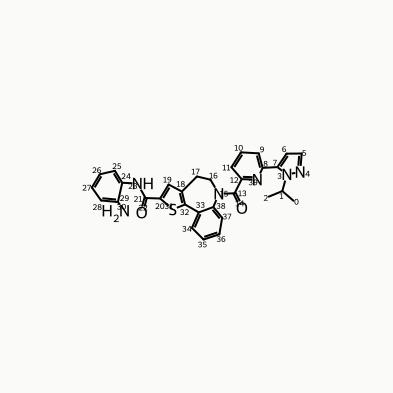 CC(C)n1nccc1-c1cccc(C(=O)N2CCc3cc(C(=O)Nc4ccccc4N)sc3-c3ccccc32)n1